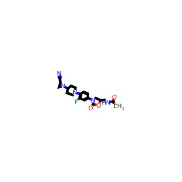 CC(=O)NCC1CN(c2ccc(N3CCC(N4CC4C#N)CC3)c(F)c2)C(=O)O1